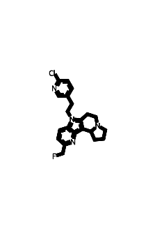 FCc1ccc2c(n1)c1c(n2CCc2ccc(Cl)nc2)CCN2CCCC12